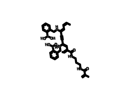 C=C(C)C(=O)NCCCNC(=O)C(/C=C(/C#C/C(=C/C=C\C)NCc1ccccc1B(O)O)NCc1ccccc1B(O)O)=C/C